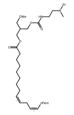 CCCCC/C=C\C/C=C\CCCCCCCC(=O)OCC(COC)COC(=O)NCCN(C)CC